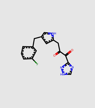 O=C(Cc1cc(Cc2cccc(F)c2)c[nH]1)C(=O)c1nc[nH]n1